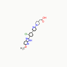 COc1ccc2nc(-c3ccc(-c4ccc(N5CCC(CC(=O)O)CC5)nc4)cc3Cl)[nH]c2n1